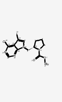 CC(C)(C)OC(=O)N1CCC[C@H]1Cn1cc(I)c2c(Cl)ncnc21